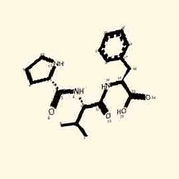 CC(C)[C@H](NC(=O)[C@@H]1CCCN1)C(=O)N[C@@H](Cc1ccccc1)C(=O)O